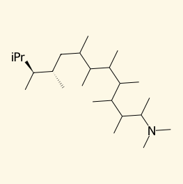 CC(C[C@H](C)[C@@H](C)C(C)C)C(C)C(C)C(C)C(C)C(C)C(C)N(C)C